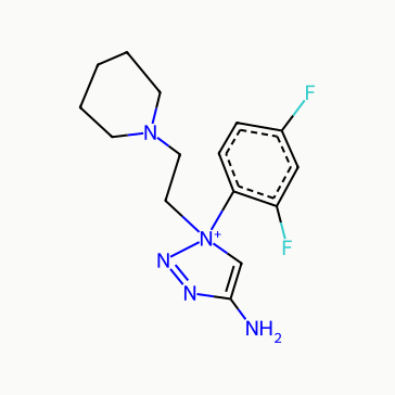 NC1=C[N+](CCN2CCCCC2)(c2ccc(F)cc2F)N=N1